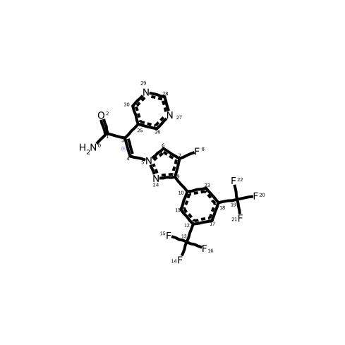 NC(=O)/C(=C/n1cc(F)c(-c2cc(C(F)(F)F)cc(C(F)(F)F)c2)n1)c1cncnc1